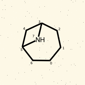 C1CCC2CC(C1)N2